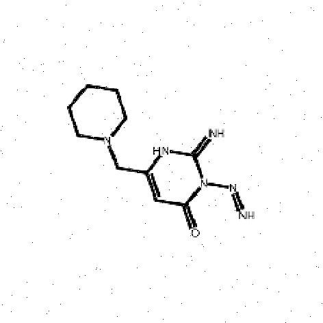 N=Nn1c(=O)cc(CN2CCCCC2)[nH]c1=N